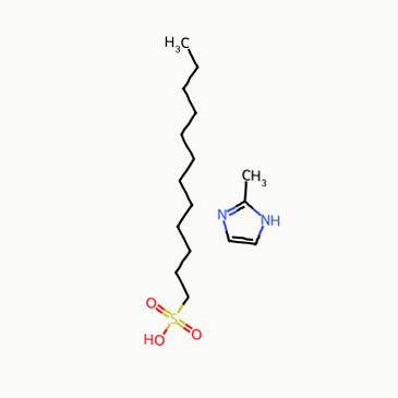 CCCCCCCCCCCCS(=O)(=O)O.Cc1ncc[nH]1